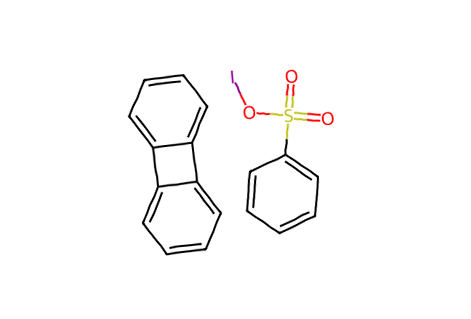 O=S(=O)(OI)c1ccccc1.c1ccc2c(c1)-c1ccccc1-2